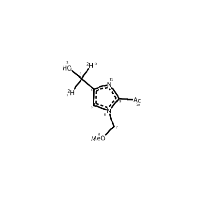 [2H]C([2H])(O)c1cn(COC)c(C(C)=O)n1